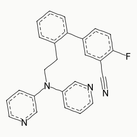 N#Cc1cc(-c2ccccc2CCN(c2cccnc2)c2cccnc2)ccc1F